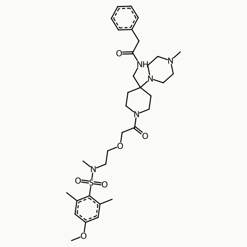 COc1cc(C)c(S(=O)(=O)N(C)CCOCC(=O)N2CCC(CNC(=O)Cc3ccccc3)(N3CCN(C)CC3)CC2)c(C)c1